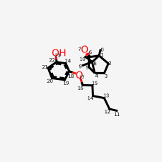 CC12CCC(CC1=O)C2(C)C.CCCCCCOc1cccc(O)c1